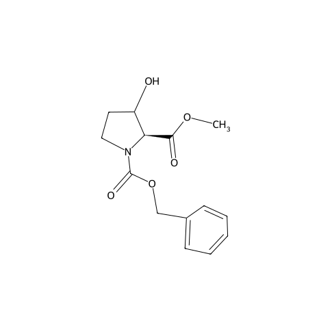 COC(=O)[C@@H]1C(O)CCN1C(=O)OCc1ccccc1